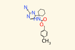 Cc1ccc(COC(=O)NC2(c3ccnc(C#N)n3)CCCCC2)cc1